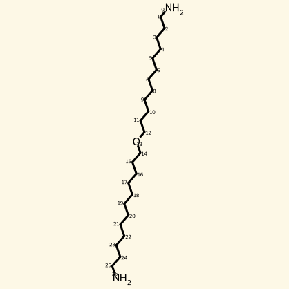 NCCCCCCCCCCCCOCCCCCCCCCCCCN